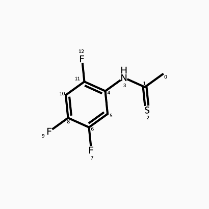 CC(=S)Nc1cc(F)c(F)cc1F